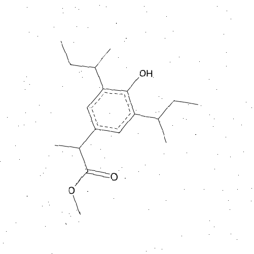 CCC(C)c1cc(C(C)C(=O)OC)cc(C(C)CC)c1O